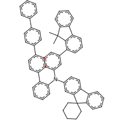 CC1(C)c2ccccc2-c2cccc(-c3cccc(N(c4ccc5c(c4)C4(CCCCC4)c4ccccc4-5)c4ccccc4-c4ccc(-c5ccc(-c6ccccc6)cc5)cc4)c3)c21